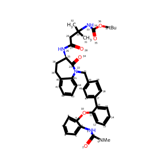 CNC(=O)Nc1ccccc1Oc1ccccc1-c1ccc(CN2C(=O)[C@H](NC(=O)CC(C)(C)NC(=O)OC(C)(C)C)CCc3ccccc32)cc1